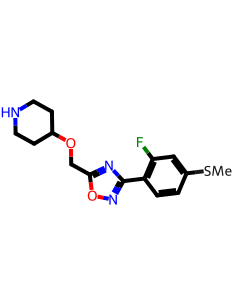 CSc1ccc(-c2noc(COC3CCNCC3)n2)c(F)c1